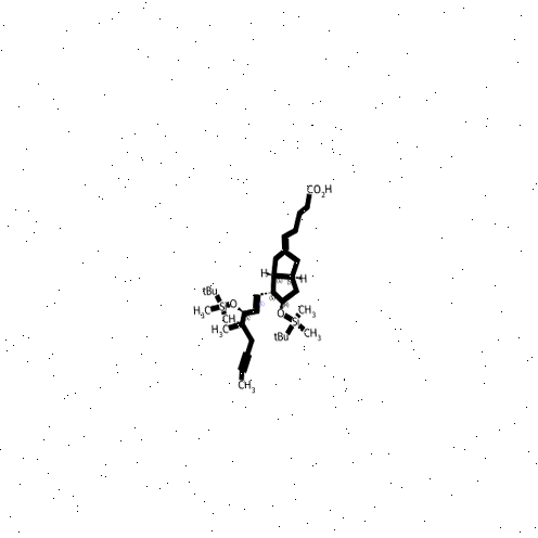 CC#CCC(C)[C@@H](/C=C/[C@@H]1[C@H]2CC(=CCCCC(=O)O)C[C@H]2C[C@H]1O[Si](C)(C)C(C)(C)C)O[Si](C)(C)C(C)(C)C